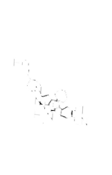 N#Cc1ccc(OC2(c3cc(N4CCC(CCO)CC4)nnc3C(N)=O)CCCCC2)cc1Cl